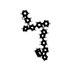 c1ccc2c(c1)-c1ccc(-c3ccc(-c4ccc5cc(-n6c7ccccc7c7ccc(-c8ccc9c%10ccccc%10n(-c%10ccc%11c(c%10)oc%10ccccc%10%11)c9c8)cc76)ccc5c4)cc3)cc1C21C2CC3CC(C2)CC1C3